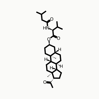 CC(=O)[C@H]1CC[C@H]2[C@@H]3CC[C@H]4C[C@H](OC(=O)[C@@H](NC(=O)CC(C)C)C(C)C)CC[C@]4(C)[C@H]3CC[C@]12C